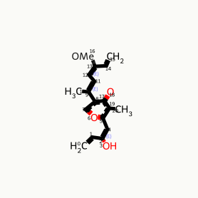 C=C/C(O)=C\c1occ(/C(C)=C/C=C(\C=C)OC)c(=O)c1C